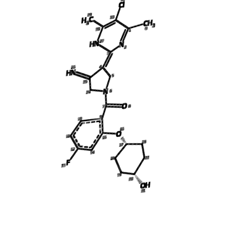 CC1=N/C(=C2\CN(C(=O)c3ccc(F)cc3O[C@H]3CC[C@@H](O)CC3)CC2=N)NC(C)=C1Cl